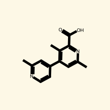 Cc1cc(-c2cc(C)nc(C(=O)O)c2C)ccn1